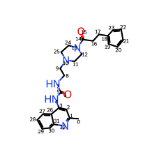 Cc1cc(NC(=O)NCCN2CCN(C(=O)CCc3ccccc3)CC2)c2ccccc2n1